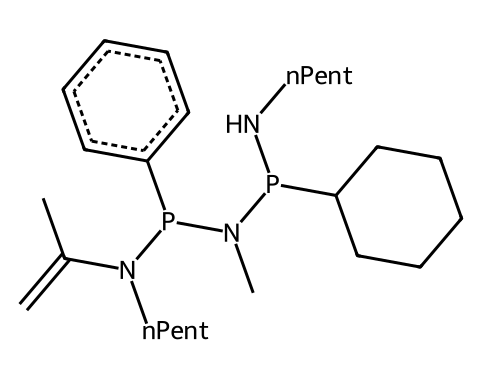 C=C(C)N(CCCCC)P(c1ccccc1)N(C)P(NCCCCC)C1CCCCC1